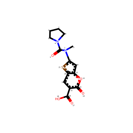 CN(C(=O)N1CCCC1)c1cc2oc(=O)c(C(=O)O)cc2s1